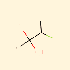 CCOC(=O)C(F)C(O)(O)C(F)(F)F